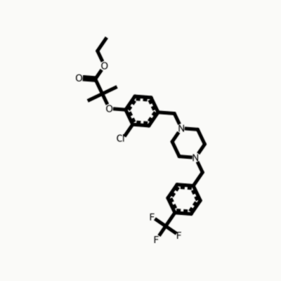 CCOC(=O)C(C)(C)Oc1ccc(CN2CCN(Cc3ccc(C(F)(F)F)cc3)CC2)cc1Cl